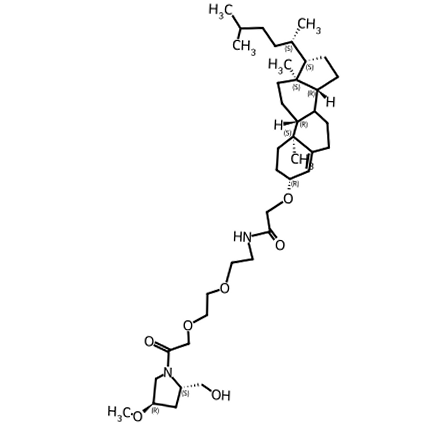 CO[C@@H]1C[C@@H](CO)N(C(=O)COCCOCCNC(=O)CO[C@H]2C=C3CCC4[C@H]5CC[C@@H]([C@@H](C)CCC(C)C)[C@]5(C)CC[C@H]4[C@]3(C)CC2)C1